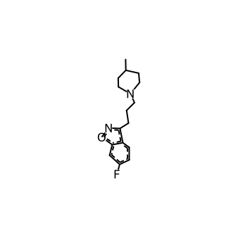 CC1CCN(CCCc2noc3cc(F)ccc23)CC1